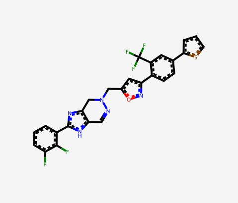 Fc1cccc(-c2nc3c([nH]2)C=NN(Cc2cc(-c4ccc(-c5cccs5)cc4C(F)(F)F)no2)C3)c1F